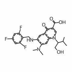 CC(C)C(CO)n1cc(C(=O)O)c(=O)c2cc(NCc3c(F)cc(F)cc3F)c(N(C)C)cc21